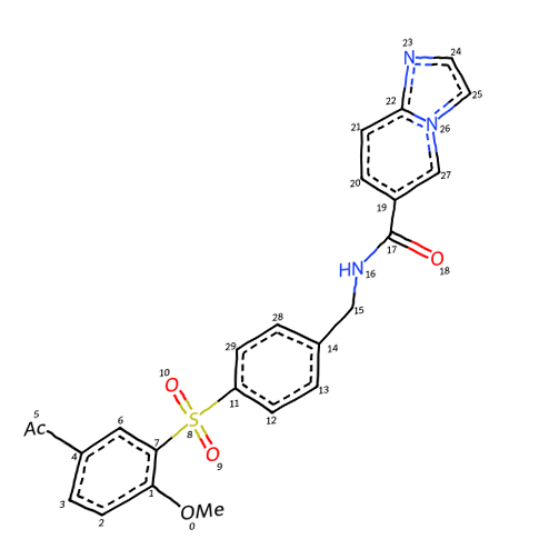 COc1ccc(C(C)=O)cc1S(=O)(=O)c1ccc(CNC(=O)c2ccc3nccn3c2)cc1